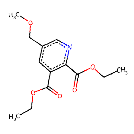 CCOC(=O)c1cc(COC)cnc1C(=O)OCC